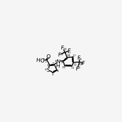 O=C(O)c1sccc1Nc1ccc(C(F)(F)F)cc1C(F)(F)F